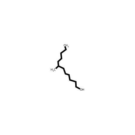 CCCCCC(C)CCCCCCO